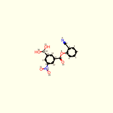 N#Cc1ccccc1OC(=O)c1cc(B(O)O)cc([N+](=O)[O-])c1